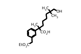 CCOC(=O)Cc1cccc(C(C)(CCCCC(C)(C)CO)C(=O)O)c1